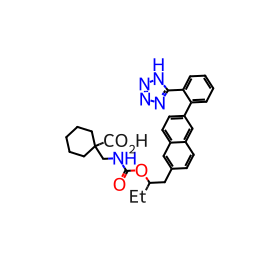 CCC(Cc1ccc2cc(-c3ccccc3-c3nnn[nH]3)ccc2c1)OC(=O)NCC1(C(=O)O)CCCCC1